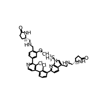 COc1cc(-c2nccc(-c3cccc(-c4ccc5c(CNC[C@@H]6CCC(=O)N6)cn(C)c5n4)c3Cl)c2Cl)ccc1CNC[C@@H]1CCC(=O)N1